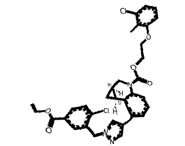 CCOC(=O)c1ccc(Cl)c(Cn2cc(-c3cccc4c3[C@H]3C[C@H]3CN4C(=O)OCCOc3cccc(Cl)c3C)cn2)c1